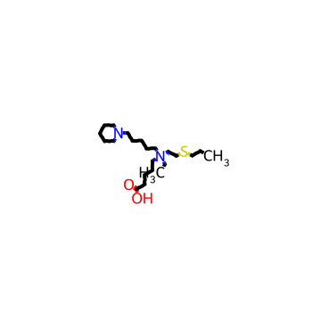 CCCSCC[N+](CC)(CCCCCN1CCCCC1)CCCCC(=O)O